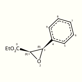 CCOC(=O)[C@@H]1O[C@@H]1c1ccccc1